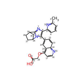 Cc1cccc(-c2nc3n(c2-c2ccc4nccc(OCC(=O)O)c4c2)C2CCC3C2)n1